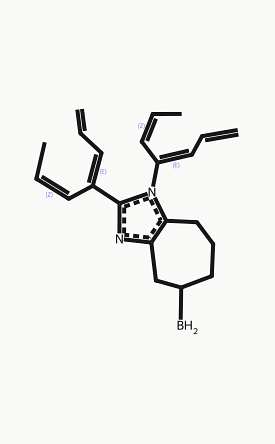 BC1CCCc2c(nc(C(/C=C\C)=C/C=C)n2C(/C=C\C)=C/C=C)C1